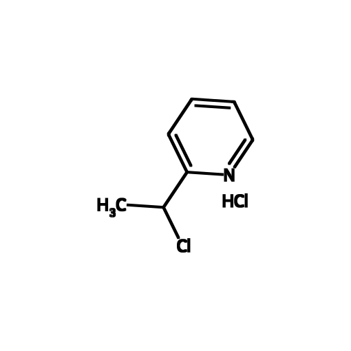 CC(Cl)c1ccccn1.Cl